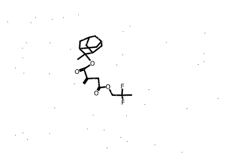 C=C(CC(=O)OCC(C)(F)F)C(=O)OC1(C)C2CC3CC(C2)CC1C3